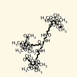 CC(=O)NC1C(OC(C)=O)[C@@H](OC(C)=O)C(COC(C)=O)O[C@H]1OCCCCC(=O)NCCNCCN(CCNC(=O)CCCCO[C@@H]1OC(COC(C)=O)[C@H](OC(C)=O)C(OC(C)=O)[C@@H]1NC(C)=O)C(=O)CCCCO[C@@H]1OC(COC(C)=O)[C@H](OC(C)=O)C(OC(C)=O)C1NC(C)=O